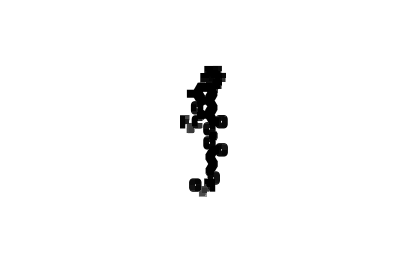 Cc1cc(S(F)(F)(F)(F)F)cc2c1OC(C(F)(F)F)C(C(=O)OCOC(=O)CCCO[N+](=O)[O-])=C2